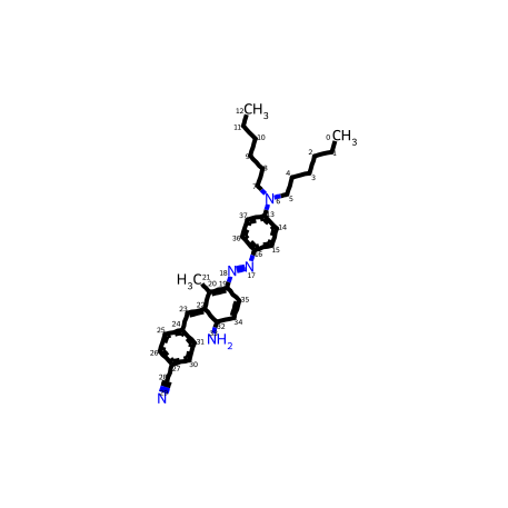 CCCCCCN(CCCCCC)c1ccc(N=NC2=C(C)C(=Cc3ccc(C#N)cc3)C(N)C=C2)cc1